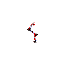 Cc1ccc(N(c2ccc(/C=C/c3ccc(/C=C/C=C(c4ccccc4)c4ccccc4)cc3)cc2)c2ccc(/C=C/c3ccc(/C=C/c4ccc(N(c5ccc(/C=C/c6cccc(/C=C/C=C(c7ccccc7)c7ccccc7)c6)cc5)c5ccc(C)cc5C)cc4)cc3)cc2)c(C)c1